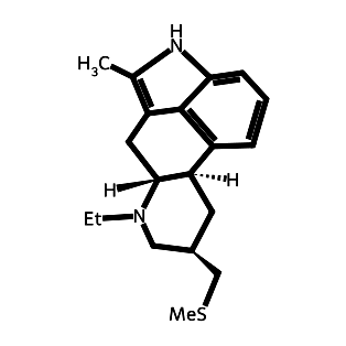 CCN1C[C@H](CSC)C[C@@H]2c3cccc4[nH]c(C)c(c34)C[C@H]21